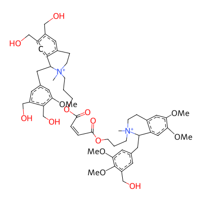 COc1cc2c(cc1OC)C(Cc1cc(CO)c(OC)c(OC)c1)[N+](C)(CCCOC(=O)/C=C\C(=O)OCCC[N+]1(C)CCc3cc(CO)c(CO)cc3C1Cc1cc(CO)c(CO)c(OC)c1)CC2